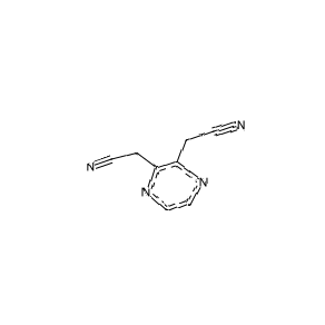 N#CCc1nccnc1CC#N